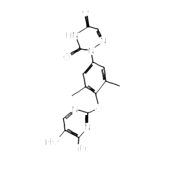 Cc1cc(-n2ncc(=O)[nH]c2=O)cc(C)c1Oc1ncc(O)c(C(C)C)n1